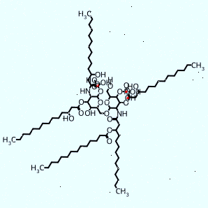 CCCCCCCCCCCCCC(=O)OC(CCCCCCCCCCC)CC(=O)NC1C(OCC2OC(OP(=O)(O)O)C(NC(=O)CC(O)CCCCCCCCCCC)C(OC(=O)CC(O)CCCCCCCCCCC)C2O)OC(CO)C(OP(=O)(O)O)C1OC(=O)CC(O)CCCCCCCCCCC